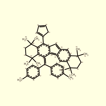 Cc1ccc(C(c2ccc(C)cc2)=c2c3c(c(C4=CC=CC4)c4c2=c2cc5c(cc2=[C]4)C(C)(C)CCC5(C)C)C(C)(C)CCC3(C)C)cc1